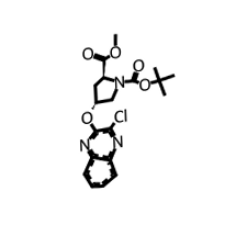 COC(=O)[C@@H]1C[C@@H](Oc2nc3ccccc3nc2Cl)CN1C(=O)OC(C)(C)C